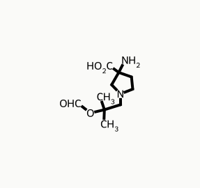 CC(C)(CN1CCC(N)(C(=O)O)C1)OC=O